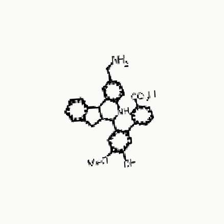 COc1cc(C2Nc3ccc(CN)cc3C3c4ccccc4CC23)c(-c2cccc(C(=O)O)c2)cc1O